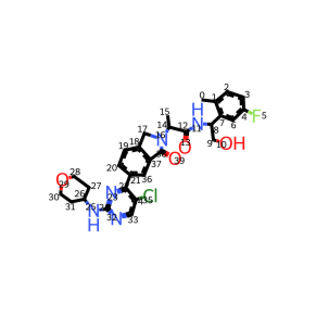 Cc1ccc(F)cc1C(CO)NC(=O)C(C)N1Cc2ccc(-c3nc(NC4CCOCC4)ncc3Cl)cc2C1=O